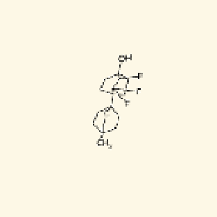 CC12CCC(C34CCC(O)(CC3)C(F)C4(F)F)(CC1)CC2